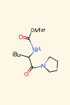 CCC(C)C(NC(=O)OC)C(=O)N1CCCC1